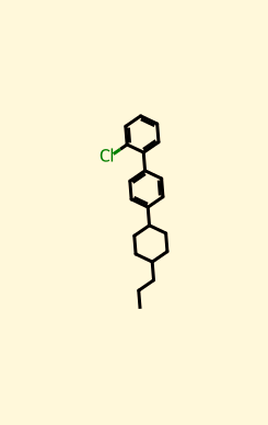 CCCC1CCC(c2ccc(-c3ccccc3Cl)cc2)CC1